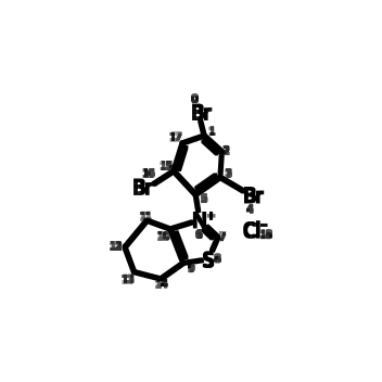 Brc1cc(Br)c(-[n+]2csc3c2CCCC3)c(Br)c1.[Cl-]